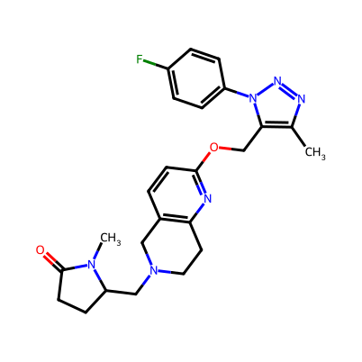 Cc1nnn(-c2ccc(F)cc2)c1COc1ccc2c(n1)CCN(CC1CCC(=O)N1C)C2